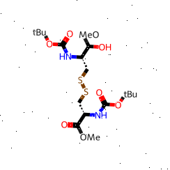 COC(=O)[C@H](CSSC[C@H](NC(=O)OC(C)(C)C)C(O)OC)NC(=O)OC(C)(C)C